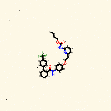 CCCCOC(=O)Nc1cccc(CCOc2ccc(NC(=O)C3=C(c4ccc(C(F)(F)F)cc4)CCCC3)cc2)n1